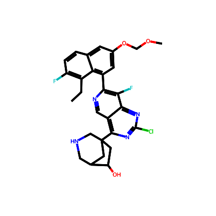 CCc1c(F)ccc2cc(OCOC)cc(-c3ncc4c(C56CNCC(C5)C(O)C6)nc(Cl)nc4c3F)c12